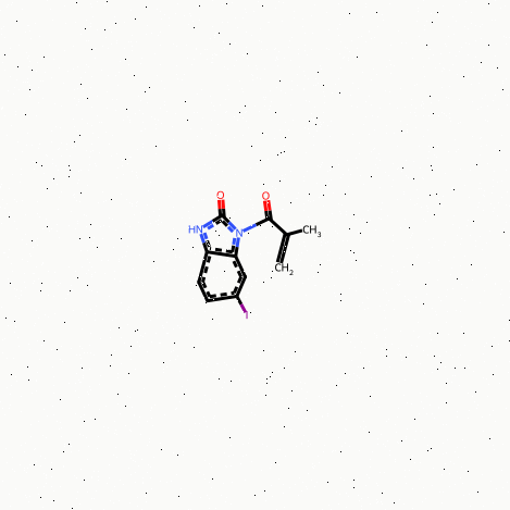 C=C(C)C(=O)n1c(=O)[nH]c2ccc(I)cc21